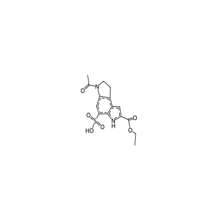 CCOC(=O)c1cc2c3c(cc(S(=O)(=O)O)c2[nH]1)N(C(C)=O)CC3